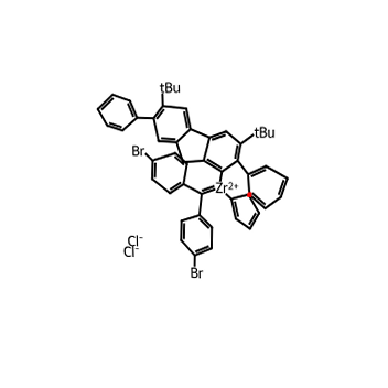 CC(C)(C)c1cc2c(cc1-c1ccccc1)Cc1c-2cc(C(C)(C)C)c(-c2ccccc2)[c]1[Zr+2]([C]1=CC=CC1)=[C](c1ccc(Br)cc1)c1ccc(Br)cc1.[Cl-].[Cl-]